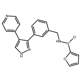 [O-][S+](NCc1cccc(-c2n[nH]cc2-c2ccncc2)c1)c1ccco1